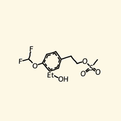 CCO.CS(=O)(=O)OCCc1ccc(OC(F)F)cc1